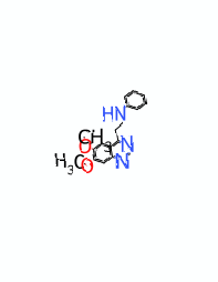 COc1cc2ncnc(CCNc3ccccc3)c2cc1OC